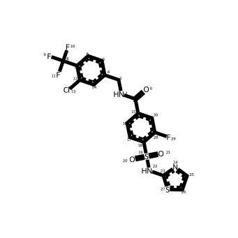 O=C(NCc1ccc(C(F)(F)F)c(Cl)c1)c1ccc(S(=O)(=O)Nc2nccs2)c(F)c1